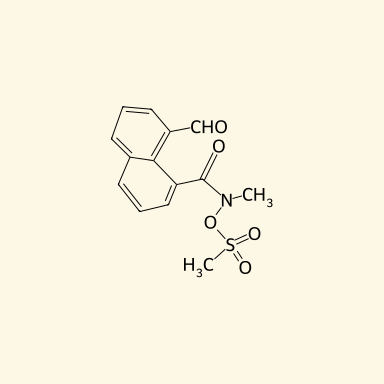 CN(OS(C)(=O)=O)C(=O)c1cccc2cccc(C=O)c12